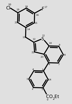 CCOC(=O)c1cccc(-c2cccc3sc(Cc4cc(F)cc(Cl)c4)cc23)c1